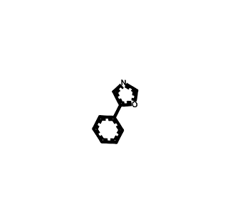 c1ccc(-c2cnco2)cc1